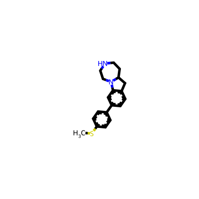 CSc1ccc(-c2ccc3c(c2)N2CCNCCC2C3)cc1